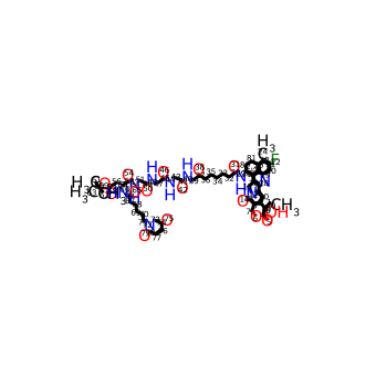 CC[C@@]1(O)C(=O)OCc2c1cc1n(c2=O)Cc2c-1nc1cc(F)c(C)c3c1c2[C@@H](NC(=O)CCCCCC(=O)CNC(=O)CNC(=O)CNC(=O)CNC(=O)[C@H](CC(=O)OC(C)(C)C)NC(=O)CCCCCN1CC(=O)C=CC1=O)CC3